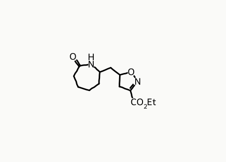 CCOC(=O)C1=NOC(CC2CCCCC(=O)N2)C1